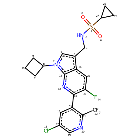 O=S(=O)(NCc1cn(C2CCC2)c2nc(-c3cc(Cl)cnc3C(F)(F)F)c(F)cc12)C1CC1